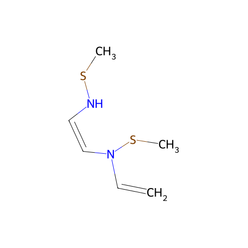 C=CN(/C=C\NSC)SC